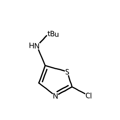 CC(C)(C)Nc1cnc(Cl)s1